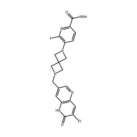 CCc1cc2ncc(CN3CC4(C3)CN(c3ccc(C(=O)NC)nc3F)C4)cc2[nH]c1=O